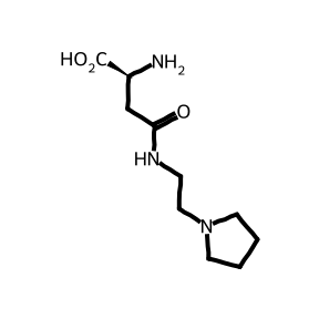 N[C@@H](CC(=O)NCCN1CCCC1)C(=O)O